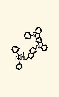 CN1C(c2ccccc2)N=C(c2ccccc2)N1Cc1ccc2cc(-n3c4ccccc4c4cc5c(cc43)N(c3ccccc3)C3(C)C=CC=CC53)ccc2c1